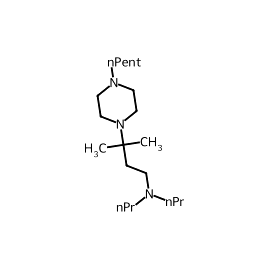 CCCCCN1CCN(C(C)(C)CCN(CCC)CCC)CC1